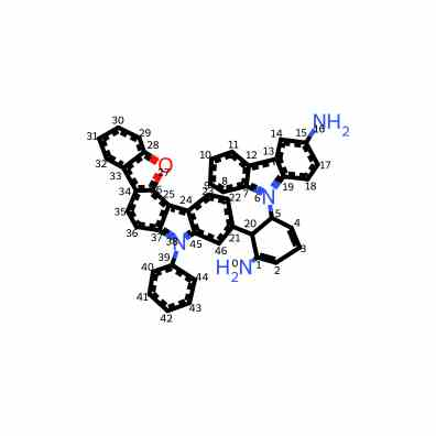 NC1=CC=CC(n2c3ccccc3c3cc(N)ccc32)C1c1ccc2c3c4oc5ccccc5c4ccc3n(-c3ccccc3)c2c1